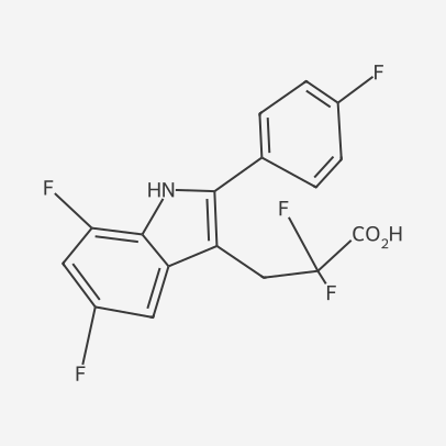 O=C(O)C(F)(F)Cc1c(-c2ccc(F)cc2)[nH]c2c(F)cc(F)cc12